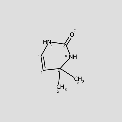 CC1(C)C=CNC(=O)N1